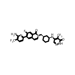 Nc1nc(-c2cc3ccn(C[C@@H]4CCC[C@H](Nc5cn[nH]c(=O)c5C(F)(F)F)C4)c(=O)c3cc2F)ccc1C(F)(F)F